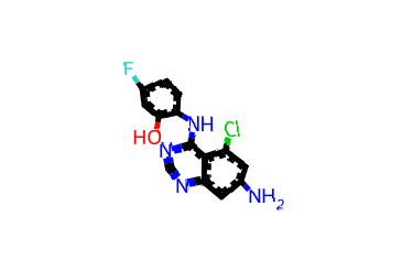 Nc1cc(Cl)c2c(Nc3ccc(F)cc3O)ncnc2c1